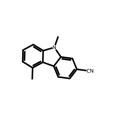 Cc1cccc2c1c1ccc(C#N)cc1n2C